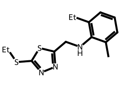 CCSc1nnc(CNc2c(C)cccc2CC)s1